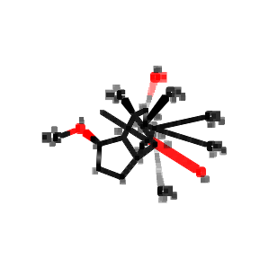 CO[C@@H]1CCC23CC[C@@H](C)[C@](C)(C12)[C@H](O)CC(C)(C)C(=O)[C@@H]3C